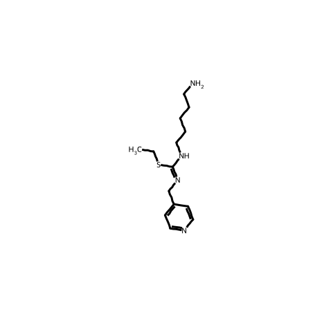 CCS/C(=N\Cc1ccncc1)NCCCCCN